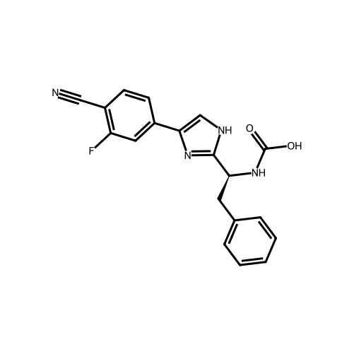 N#Cc1ccc(-c2c[nH]c([C@H](Cc3ccccc3)NC(=O)O)n2)cc1F